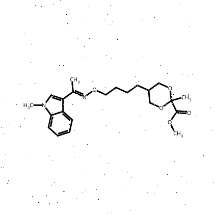 COC(=O)C1(C)OCC(CCCCON=C(C)c2cn(C)c3ccccc23)CO1